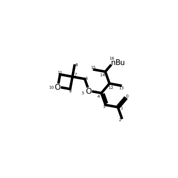 C=C(C)/C=C(/OCC1(C)COC1)C(C)C(C)CCCC